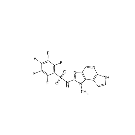 Cn1c(NS(=O)(=O)c2c(F)c(F)c(F)c(F)c2F)nc2cnc3[nH]ccc3c21